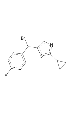 Fc1ccc(C(Br)c2cnc(C3CC3)s2)cc1